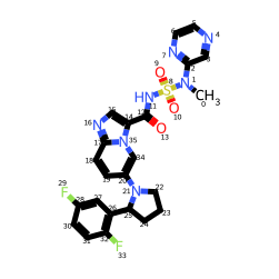 CN(c1cnccn1)S(=O)(=O)NC(=O)c1cnc2ccc(N3CCCC3c3cc(F)ccc3F)cn12